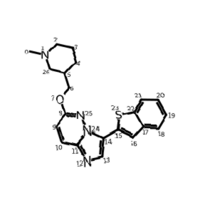 CN1CCCC(COc2ccc3ncc(-c4cc5ccccc5s4)n3n2)C1